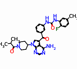 Cc1ccc(F)c(NC(=O)Nc2cccc(C(=O)c3cn(C4CCN(C(=O)C(C)C)CC4)c4ncnc(N)c34)c2)c1